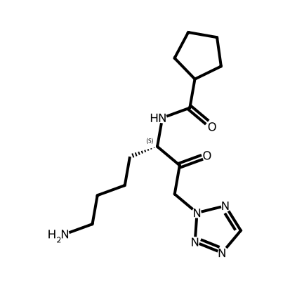 NCCCC[C@H](NC(=O)C1CCCC1)C(=O)Cn1ncnn1